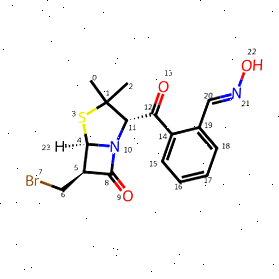 CC1(C)S[C@@H]2[C@H](CBr)C(=O)N2[C@H]1C(=O)c1ccccc1C=NO